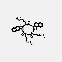 CCCCN1CC(=O)N(c2ccc3ccccc3c2)CC(=O)N(CCCN)CC(=O)N(CCCN)CC(=O)N(c2ccc3ccccc3c2)CC1=O